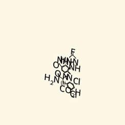 NC(=O)c1cc(NC2=NCC(F)CN2)c2cnn(C(C(N)=O)[C@@H](CC(=O)O)c3cc(Cl)cc(Cl)c3)c2c1